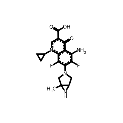 CC12CN(c3c(F)c(N)c4c(=O)c(C(=O)O)cn(C5CC5)c4c3F)CC1N2